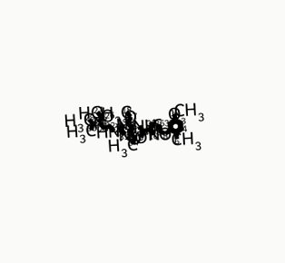 COc1ccc(C)c(Oc2nc(C(=O)Nc3c(OC)nc(NCCN(C(=O)O)C(C)C)nc3OC)cs2)c1